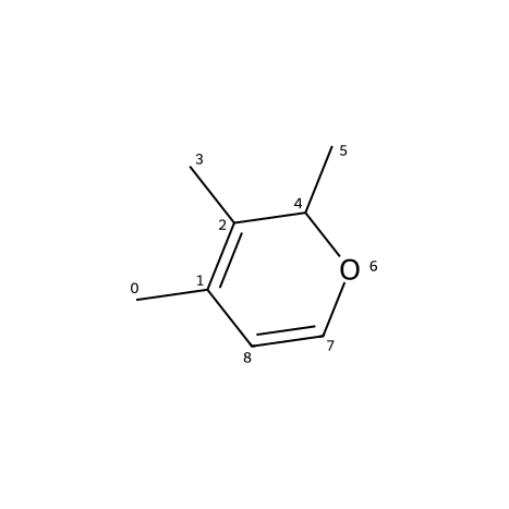 CC1=C(C)C(C)OC=C1